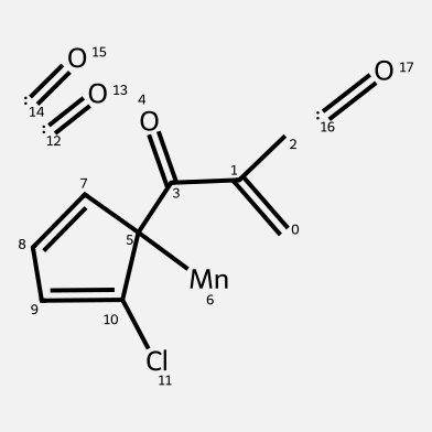 C=C(C)C(=O)[C]1([Mn])C=CC=C1Cl.[C]=O.[C]=O.[C]=O